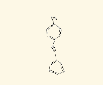 Cc1ccc(C#Cc2cc[c]cc2)cc1